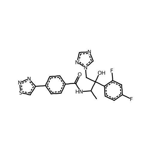 CC(NC(=O)c1ccc(-c2csnn2)cc1)C(O)(Cn1cncn1)c1ccc(F)cc1F